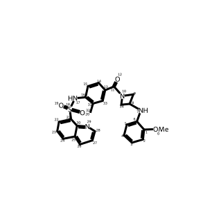 COc1ccccc1NC1CN(C(=O)c2ccc(NS(=O)(=O)c3cccc4cccnc34)c(C)c2)C1